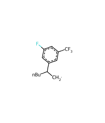 [CH2]C(CCCC)c1cc(F)cc(C(F)(F)F)c1